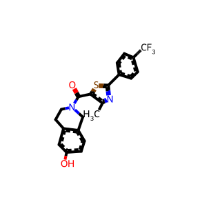 Cc1nc(-c2ccc(C(F)(F)F)cc2)sc1C(=O)N1CCc2cc(O)ccc2C1